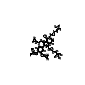 C[Si](C)(C)CCOCn1ncc2c(c(CCC3CC3)c(-c3ccc(OC(F)F)c(OC4CC4)c3)n2COCC[Si](C)(C)C)c1=O